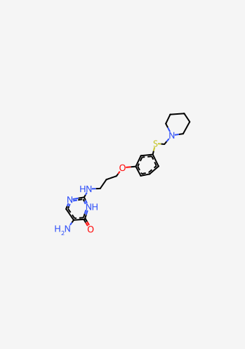 Nc1cnc(NCCCOc2cccc(SCN3CCCCC3)c2)[nH]c1=O